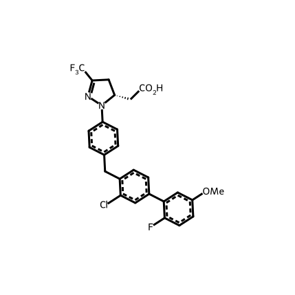 COc1ccc(F)c(-c2ccc(Cc3ccc(N4N=C(C(F)(F)F)C[C@@H]4CC(=O)O)cc3)c(Cl)c2)c1